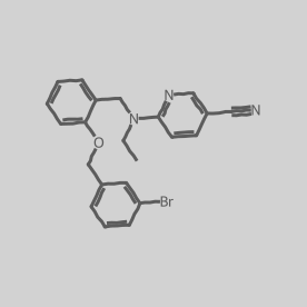 CCN(Cc1ccccc1OCc1cccc(Br)c1)c1ccc(C#N)cn1